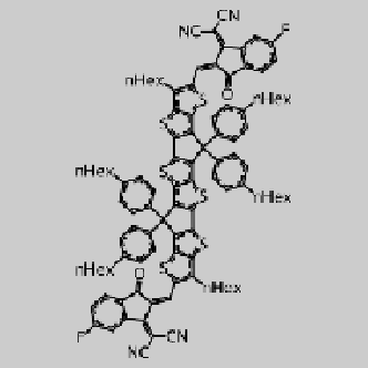 CCCCCCc1ccc(C2(c3ccc(CCCCCC)cc3)c3c(sc4c(CCCCCC)c(/C=C5\C(=O)c6ccc(F)cc6C5=C(C#N)C#N)sc34)-c3sc4c5c(sc4c32)-c2sc3c(CCCCCC)c(/C=C4\C(=O)c6ccc(F)cc6C4=C(C#N)C#N)sc3c2C5(c2ccc(CCCCCC)cc2)c2ccc(CCCCCC)cc2)cc1